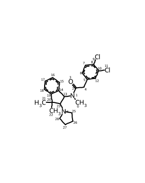 CN(C(=O)Cc1ccc(Cl)c(Cl)c1)C1c2ccccc2C(C)(C)C1N1CCCC1